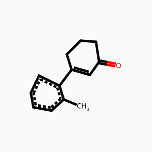 Cc1ccccc1C1=CC(=O)CCC1